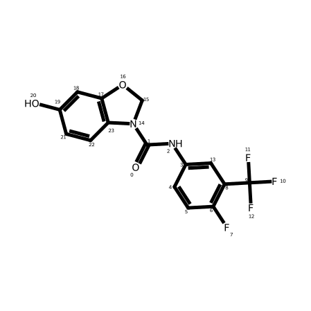 O=C(Nc1ccc(F)c(C(F)(F)F)c1)N1COc2cc(O)ccc21